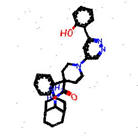 NC1CC2CCCC(C1)C2NC(=O)C1(c2ccccc2)CCN(c2cnnc(-c3ccccc3O)c2)CC1